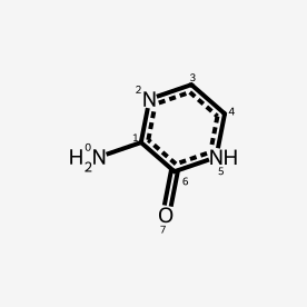 Nc1ncc[nH]c1=O